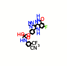 Cn1ncnc1[C@H]1c2n[nH]c(=O)c3cc(F)cc(c23)NC1c1ccc(OCC(C)(O)C(=O)Nc2ccc(C#N)c(C(F)(F)F)c2)cc1